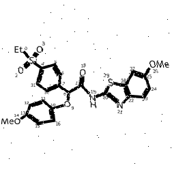 CCS(=O)(=O)c1ccc(C(Oc2ccc(OC)cc2)C(=O)Nc2nc3ccc(OC)cc3s2)cc1